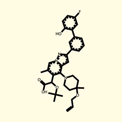 C=CCOC1(C)CCN(c2c(C(OC(C)(C)C)C(=O)O)c(C)cn3nc(-c4cccc(-c5cc(F)ccc5O)c4)cc23)CC1